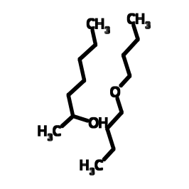 CCCCCC(C)O.CCCCOCCCC